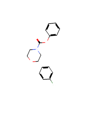 O=C(Oc1ccccc1)N1CCO[C@@H](c2ccc(Cl)cc2)C1